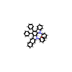 c1ccc(-c2c(-c3ccccc3)c3c4cc5ccccc5cc4n(-c4ccccc4)c3c3c2c2ccccc2n3-c2ccccc2)cc1